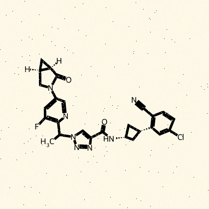 CC(c1ncc(N2C[C@H]3C[C@H]3C2=O)cc1F)n1cc(C(=O)N[C@H]2C[C@@H](c3cc(Cl)ccc3C#N)C2)nn1